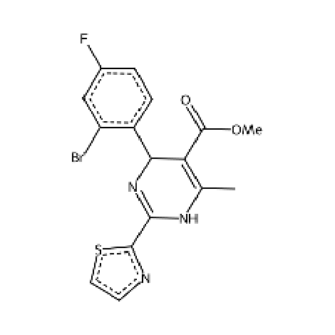 COC(=O)C1=C(C)NC(c2nccs2)=NC1c1ccc(F)cc1Br